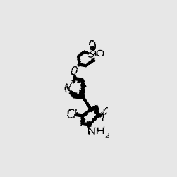 Nc1cc(Cl)c(-c2ccc(OC3CCS(=O)(=O)CC3)nc2)cc1F